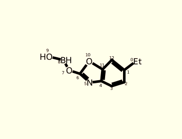 CCc1ccc2nc(OBO)oc2c1